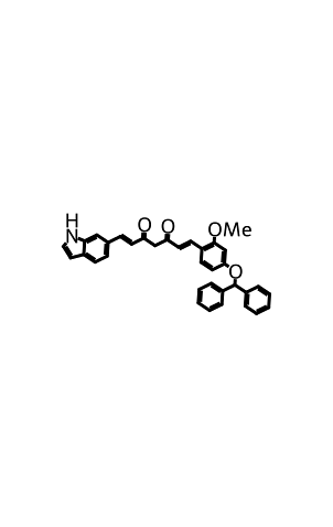 COc1cc(OC(c2ccccc2)c2ccccc2)ccc1/C=C/C(=O)CC(=O)/C=C/c1ccc2cc[nH]c2c1